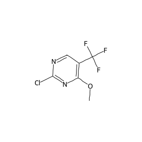 COc1nc(Cl)ncc1C(F)(F)F